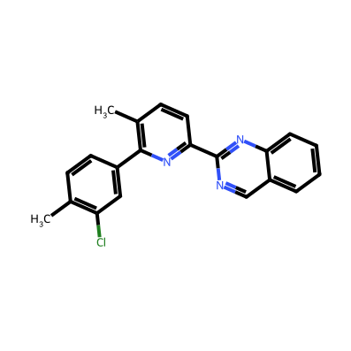 Cc1ccc(-c2nc(-c3ncc4ccccc4n3)ccc2C)cc1Cl